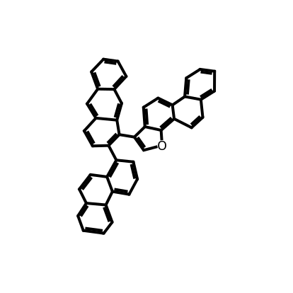 c1ccc2cc3c(-c4coc5c4ccc4c6ccccc6ccc45)c(-c4cccc5c4ccc4ccccc45)ccc3cc2c1